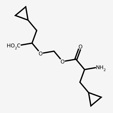 NC(CC1CC1)C(=O)OCOC(CC1CC1)C(=O)O